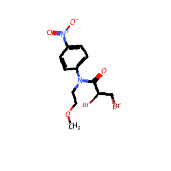 COCCN(C(=O)C(Br)CBr)c1ccc([N+](=O)[O-])cc1